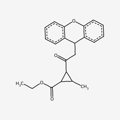 CCOC(=O)C1C(C)C1C(=O)CC1c2ccccc2Oc2ccccc21